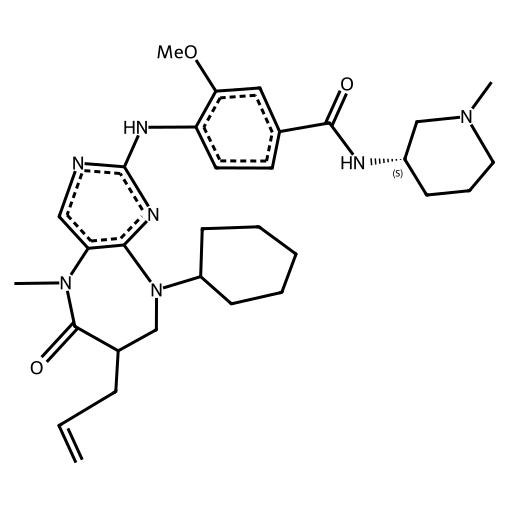 C=CCC1CN(C2CCCCC2)c2nc(Nc3ccc(C(=O)N[C@H]4CCCN(C)C4)cc3OC)ncc2N(C)C1=O